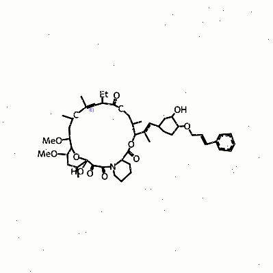 CCC1/C=C(\C)CC(C)CC(OC)C2OC(O)(C(=O)C(=O)N3CCCCC3C(=O)OC(C(C)=CC3CCC(OCC=Cc4ccccc4)C(O)C3)C(C)CCC1=O)C(C)CC2OC